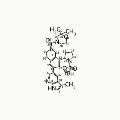 Cc1c[nH]c2ncc(-c3cc4c(c(C5CCCN5C(=O)OC(C)(C)C)c3)CN(C(=O)N3CCOC(C)(C)C3)CC4)cc12